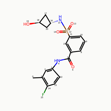 Cc1cc(NC(=O)c2cccc(S(=O)(=O)N[C@H]3C[C@H](O)C3)c2)ccc1F